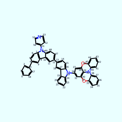 c1ccc(-c2ccc3c(c2)c2cc(-c4ccc5c(c4)c4ccccc4n5-c4cc5c6c(c4)Oc4ccccc4N6c4ccccc4O5)ccc2n3-c2ccncc2)cc1